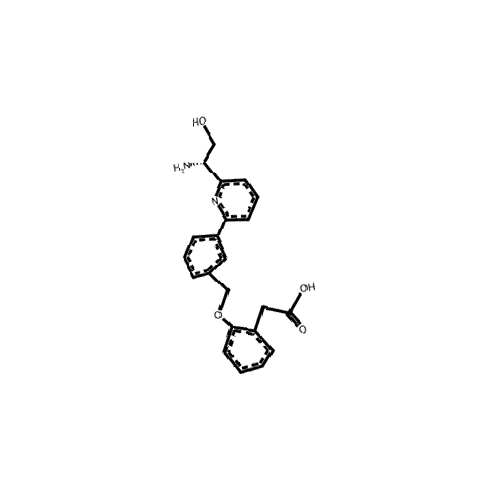 N[C@H](CO)c1cccc(-c2cccc(COc3ccccc3CC(=O)O)c2)n1